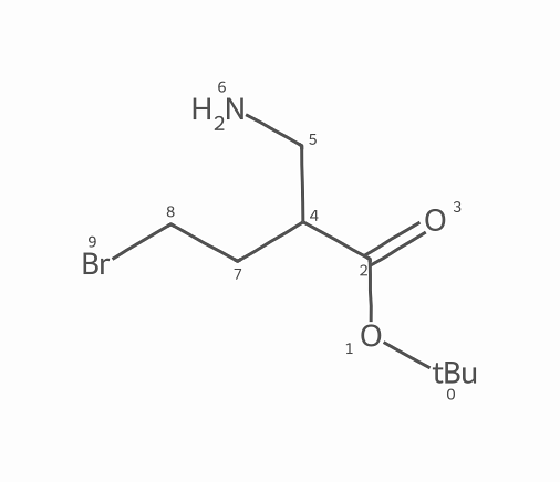 CC(C)(C)OC(=O)C(CN)CCBr